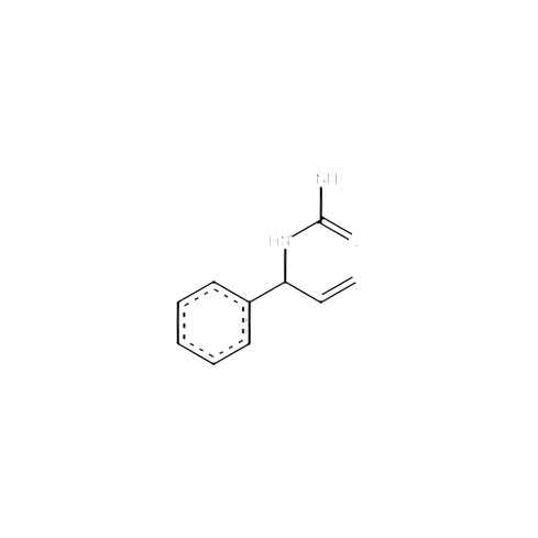 C=CC(NC(N)=S)c1ccccc1